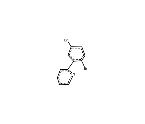 Brc1ccc(Br)c(-c2cc[c]cn2)c1